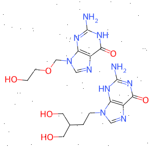 Nc1nc(=O)c2ncn(CCC(CO)CO)c2[nH]1.Nc1nc2c(ncn2COCCO)c(=O)[nH]1